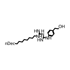 CCCCCCCCCCCCCCCCCCNC(=N)NC(=N)Nc1ccc(CCO)cc1